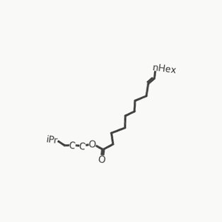 CCCCCCC=CCCCCCCCC(=O)OCCCC(C)C